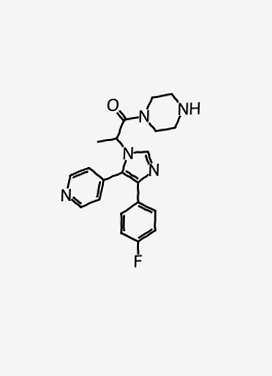 CC(C(=O)N1CCNCC1)n1cnc(-c2ccc(F)cc2)c1-c1ccncc1